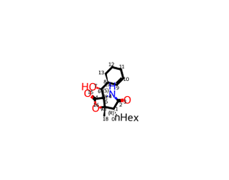 CCCCCC[C@H]1C(=O)N[C@@]2([C@@H](O)[C@@H]3C=CCCC3)C(=O)O[C@@]12C